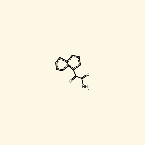 NC(=O)C(=O)c1cccc2ccccc12